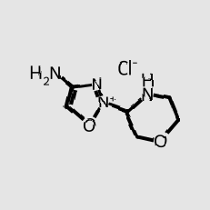 Nc1co[n+](C2COCCN2)n1.[Cl-]